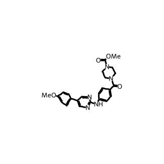 COC(=O)N1CCN(C(=O)c2ccc(Nc3ncc(-c4ccc(OC)cc4)cn3)cc2)CC1